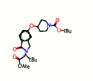 COC(=O)[C@@H](N1Cc2cc(OC3CCN(C(=O)OC(C)(C)C)CC3)ccc2C1=O)C(C)(C)C